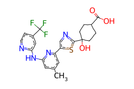 Cc1cc(Nc2cc(C(F)(F)F)ccn2)nc(-c2cnc(C3(O)CCC(C(=O)O)CC3)s2)c1